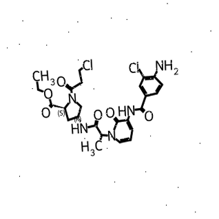 CCOC(=O)[C@@H]1C[C@@H](NC(=O)C(C)n2cccc(NC(=O)c3ccc(N)c(Cl)c3)c2=O)CN1C(=O)CCCl